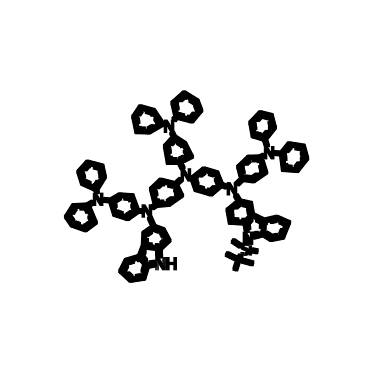 CC(C)(C)[Si](C)(C)n1c2ccccc2c2cc(N(c3ccc(N(c4ccccc4)c4ccccc4)cc3)c3ccc(N(c4ccc(N(c5ccccc5)c5ccccc5)cc4)c4ccc(N(c5ccc(N(c6ccccc6)c6ccccc6)cc5)c5ccc6[nH]c7ccccc7c6c5)cc4)cc3)ccc21